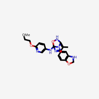 COCCOc1ccc(NC23N=CC(C)=C(NO2)N3c2ccc3c(c2)NCO3)cn1